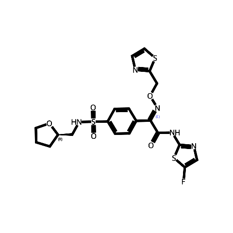 O=C(Nc1ncc(F)s1)/C(=N/OCc1nccs1)c1ccc(S(=O)(=O)NC[C@H]2CCCO2)cc1